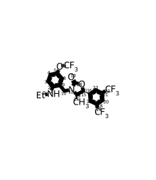 CCNc1ccc(OC(F)(F)F)cc1CN1C(=O)O[C@H](c2cc(C(F)(F)F)cc(C(F)(F)F)c2)[C@@H]1C